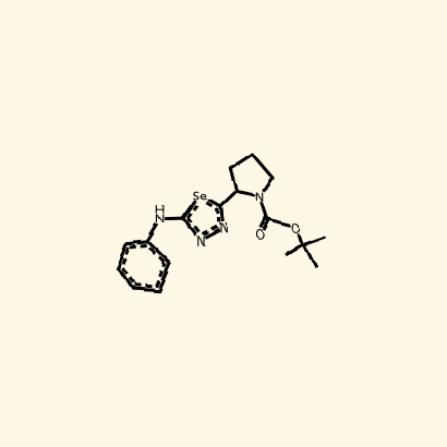 CC(C)(C)OC(=O)N1CCCC1c1nnc(Nc2ccccc2)[se]1